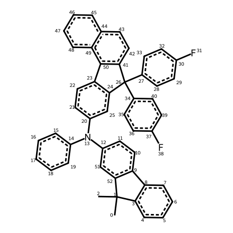 CC1(C)c2ccccc2-c2ccc(N(c3ccccc3)c3ccc4c(c3)C(c3ccc(F)cc3)(c3ccc(F)cc3)c3ccc5ccccc5c3-4)cc21